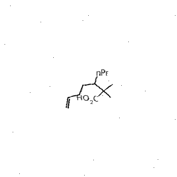 C=CCCC(CCC)C(C)(C)C(=O)O